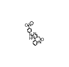 CN1C(=O)Cc2cnc(Nc3ccc(C(=O)N4CCCC4)cc3)nc2-c2ccccc21